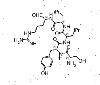 CC(C)C[C@H](NC(=O)[C@@H](CC(C)C)NC(=O)[C@H](Cc1ccc(O)cc1)NC(=O)[C@@H](N)CO)C(=O)N[C@H]([C]=O)CCCNC(=N)N